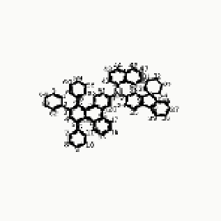 C1=CC(c2cc(-c3ccccc3)c3c4ccccc4c4cc(N(c5ccc6c(c5)C5(CCCCC5)c5ccccc5-6)c5cccc6ccccc56)ccc4c3c2-c2ccccc2)=CCC1